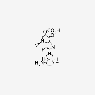 C[C@H]1C=C[C@@H](N)[C@H]2CN(c3ncc4c(=O)c(OC(=O)O)cn(C5CC5)c4c3F)C[C@H]21